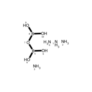 N.N.N.N.OB(O)OB(O)O